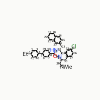 CCc1ccc(-c2ccc(C(=O)N[C@H](Cc3ccc4ccccc4c3)CN(C)[C@H](CNC)Cc3ccc(Cl)cc3)cc2)cc1